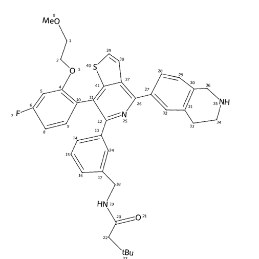 COCCOc1cc(F)ccc1-c1c(-c2cccc(CNC(=O)CC(C)(C)C)c2)nc(-c2ccc3c(c2)CCNC3)c2ccsc12